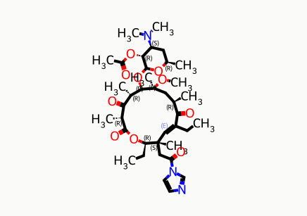 CC/C1=C\[C@](C)(CC(=O)n2ccnc2)[C@@H](CC)OC(=O)[C@H](C)C(=O)[C@H](C)[C@@H](OC2O[C@H](C)C[C@H](N(C)C)[C@H]2OC(C)=O)[C@@](C)(OC)C[C@@H](C)C1=O